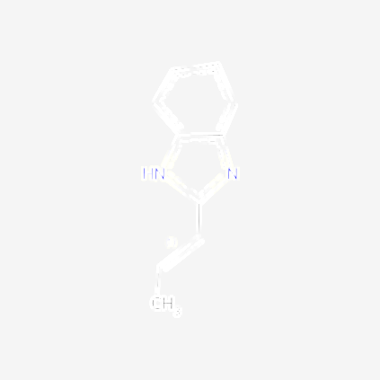 C/C=C/c1nc2ccccc2[nH]1